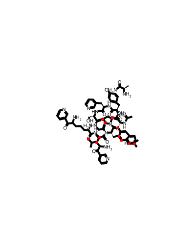 CC(=O)N[C@H](Cc1ccc2ccccc2c1)C(=O)N[C@H](Cc1ccc(Cl)cc1)C(=O)N[C@H](Cc1cccnc1)C(=O)N[C@@H](CO)C(=O)N[C@@H](CCCC(N)C(=O)c1cccnc1)C(=O)N(C(=O)[C@H](CC(C)C)NC(=O)[C@H](N)CCCC(N)C(=O)c1cccnc1)[C@@H](CCCCNC(C)C)C(=O)N1CCC[C@H]1C(=O)O.C[C@@H](N)C(N)=O